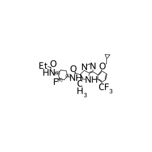 CCC(=O)N[C@H]1CC[C@H](NC(=O)c2c(C)[nH]c3c(-c4cc(C(F)(F)F)ccc4OCC4CC4)ncnc23)C[C@H]1F